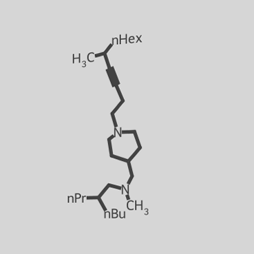 CCCCCCC(C)C#CCCN1CCC(CN(C)CC(CCC)CCCC)CC1